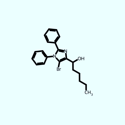 CCCCCC(O)c1nc(-c2ccccc2)n(-c2ccccc2)c1Br